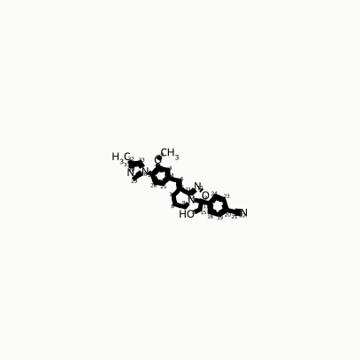 COc1cc(/C=C2\CCCN3C2=NOC3(CO)c2ccc(C#N)cc2)ccc1-n1cnc(C)c1